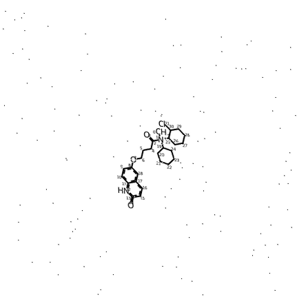 C[N+](C(=O)CCCOc1ccc2[nH]c(=O)ccc2c1)(C1CCCCC1)C1CCCCC1Cl